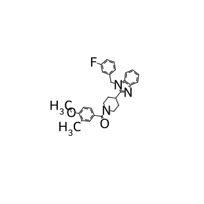 COc1ccc(C(=O)N2CCC(c3nc4ccccc4n3Cc3cccc(F)c3)CC2)cc1C